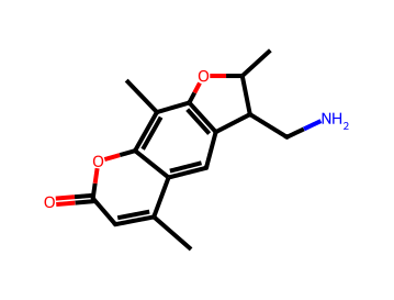 Cc1cc(=O)oc2c(C)c3c(cc12)C(CN)C(C)O3